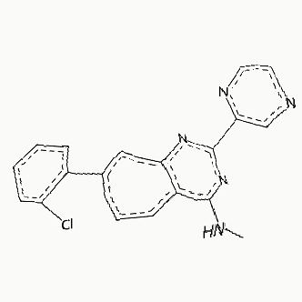 CNc1nc(-c2cnccn2)nc2cc(-c3ccccc3Cl)ccc12